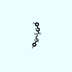 O=C(NCCc1nnc(-c2ccc(F)cc2)o1)c1ccc(-c2cccc(F)c2)nc1